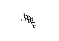 CCC(=O)OC1C(C)C[C@H]2[C@@H]3CCC4=CC(=O)C=C(O)[C@]4(C)[C@H]3CC[C@]12C